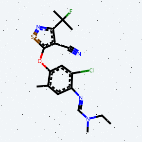 CCN(C)C=Nc1cc(C)c(Oc2snc(C(C)(C)F)c2C#N)cc1Cl